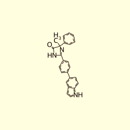 CC1(c2ccccc2)N=C(c2ccc(-c3ccc4[nH]ccc4c3)cc2)NC1=O